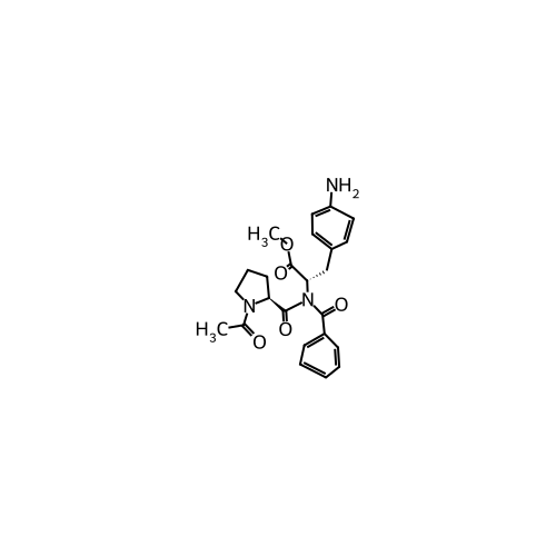 COC(=O)[C@H](Cc1ccc(N)cc1)N(C(=O)c1ccccc1)C(=O)[C@@H]1CCCN1C(C)=O